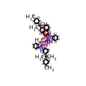 CCN[PH](Oc1ccccc1)(Oc1ccc(C(C)(C)c2ccc(C)cc2)cc1)C(C)N[PH](NP(Oc1ccccc1)Oc1ccc(C(C)(C)c2ccc(C)cc2)cc1)(Oc1ccccc1)Oc1ccccc1